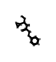 CCC(NC(=O)OCc1ccccc1)C1CC1